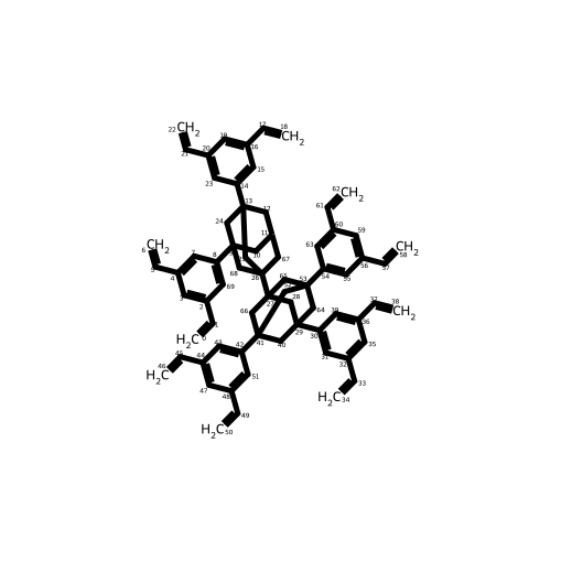 C=Cc1cc(C=C)cc(C23CC4CC(c5cc(C=C)cc(C=C)c5)(C2)CC(C25CC6(c7cc(C=C)cc(C=C)c7)CC(c7cc(C=C)cc(C=C)c7)(CC(c7cc(C=C)cc(C=C)c7)(C6)C2)C5)(C4)C3)c1